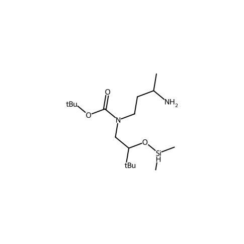 CC(N)CCN(CC(O[SiH](C)C)C(C)(C)C)C(=O)OC(C)(C)C